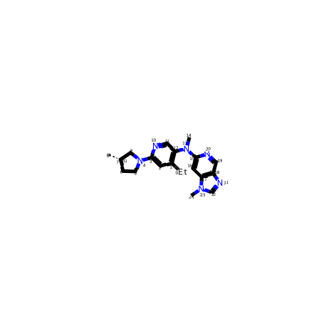 CCc1cc(N2CC[C@H](C)C2)ncc1N(C)c1cc2c(cn1)ncn2C